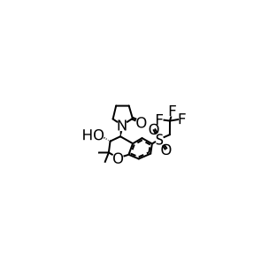 CC1(C)Oc2ccc(S(=O)(=O)CC(F)(F)F)cc2[C@H](N2CCCC2=O)[C@H]1O